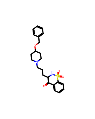 O=C1c2ccccc2S(=O)(=O)NC1CCCN1CCC(OCc2ccccc2)CC1